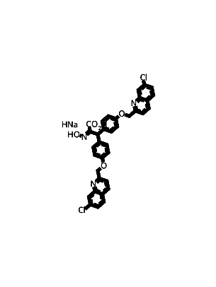 O=C(O)/C(=N\O)C(c1ccc(OCc2ccc3ccc(Cl)cc3n2)cc1)c1ccc(OCc2ccc3ccc(Cl)cc3n2)cc1.[NaH]